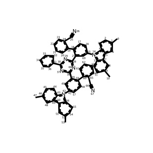 Cc1ccc2c(c1)c1cc(C)ccc1n2-c1ccc(-c2ccccc2C#N)c(-c2nc(-c3ccccc3)nc(-c3cc(-n4c5ccc(C)cc5c5cc(C)ccc54)ccc3-c3ccccc3C#N)n2)c1